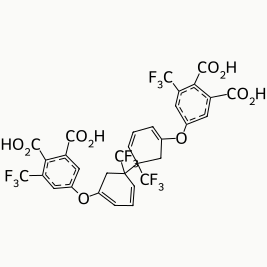 O=C(O)c1cc(OC2=CC=CC(C(F)(F)F)(C3(C(F)(F)F)C=CC=C(Oc4cc(C(=O)O)c(C(=O)O)c(C(F)(F)F)c4)C3)C2)cc(C(F)(F)F)c1C(=O)O